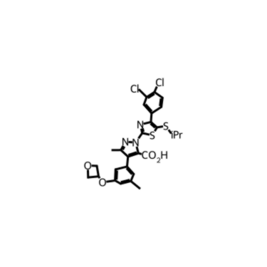 Cc1cc(OC2COC2)cc(-c2c(C)nn(-c3nc(-c4ccc(Cl)c(Cl)c4)c(SC(C)C)s3)c2C(=O)O)c1